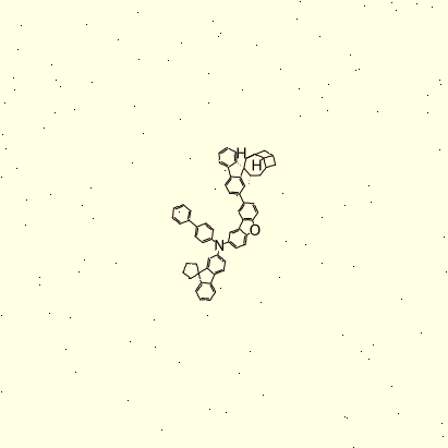 C[C@H]1CC2CC3C[C@H](C[C@H]32)[C@@]12c1ccccc1-c1ccc(-c3ccc4oc5ccc(N(c6ccc(-c7ccccc7)cc6)c6ccc7c(c6)C6(CCCC6)c6ccccc6-7)cc5c4c3)cc12